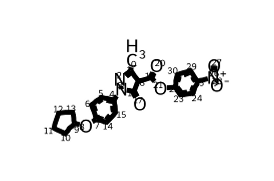 CC1=NN(c2ccc(OC3CCCC3)cc2)C(=O)C1C(=O)Oc1ccc([N+](=O)[O-])cc1